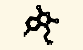 CC(C)CCn1c(=O)oc(=O)c2ccc(F)cc21